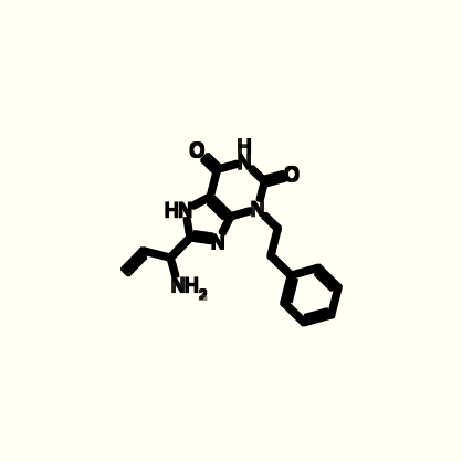 C=CC(N)c1nc2c([nH]1)c(=O)[nH]c(=O)n2CCc1ccccc1